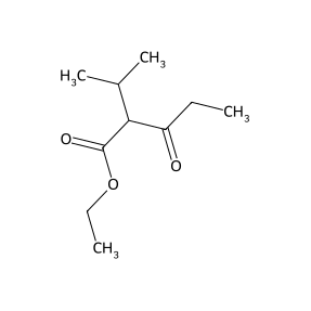 CCOC(=O)C(C(=O)CC)C(C)C